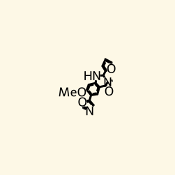 COc1cc2c(cc1-c1cnco1)C(=O)N(C)C(c1ccco1)N2